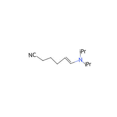 CC(C)N(C=CCCCC#N)C(C)C